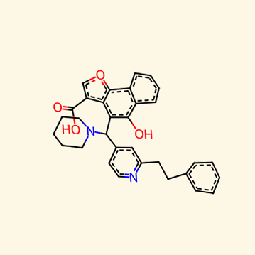 O=C(O)c1coc2c1c(C(c1ccnc(CCc3ccccc3)c1)N1CCCCC1)c(O)c1ccccc12